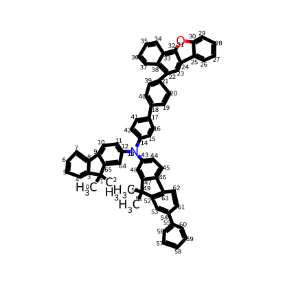 CC1(C)c2ccccc2-c2ccc(N(c3ccc(-c4ccc(-c5cc6c7ccccc7oc6c6ccccc56)cc4)cc3)c3ccc4c(c3)C(C)(C)c3cc(-c5ccccc5)ccc3-4)cc21